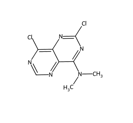 CN(C)c1nc(Cl)nc2c(Cl)ncnc12